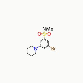 CNS(=O)(=O)c1cc(Br)cc(N2CCCCC2)c1